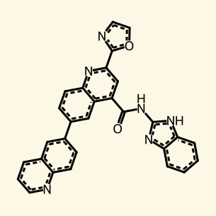 O=C(Nc1nc2ccccc2[nH]1)c1cc(-c2ncco2)nc2ccc(-c3ccc4ncccc4c3)cc12